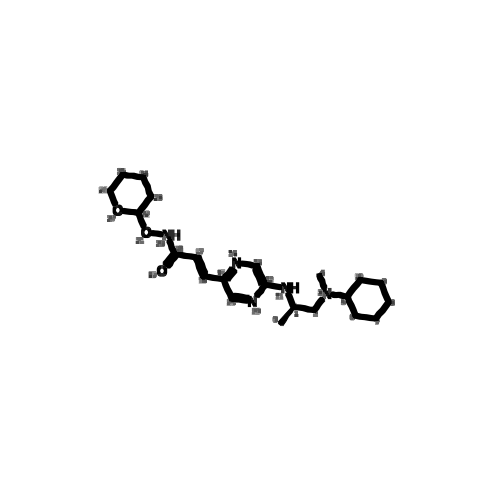 C[C@H](CN(C)C1CCCCC1)Nc1cnc(/C=C/C(=O)NOC2CCCCO2)cn1